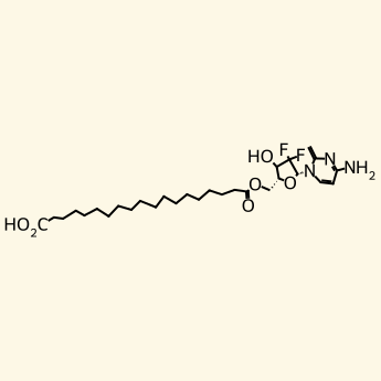 C=C1N=C(N)C=CN1[C@@H]1O[C@H](COC(=O)CCCCCCCCCCCCCCCCCC(=O)O)C(O)C1(F)F